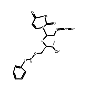 C[C@H](O)[C@@H](COPOc1ccccc1)O[C@H](CN=[N+]=[N-])n1ccc(=O)[nH]c1=O